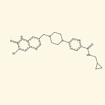 CCc1cc2ncc(CN3CCN(c4ccc(C(=O)NCC5CC5)nc4)CC3)cc2[nH]c1=O